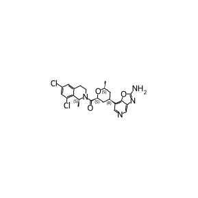 C[C@H]1C[C@@H](c2cncc3nc(N)oc23)C[C@@H](C(=O)N2CCc3cc(Cl)cc(Cl)c3[C@@H]2C)O1